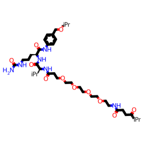 CC(C)OCc1ccc(NC(=O)[C@H](CCCNC(N)=O)NC(=O)[C@@H](NC(=O)CCOCCOCCOCCOCCNC(=O)CCC(=O)C(C)C)C(C)C)cc1